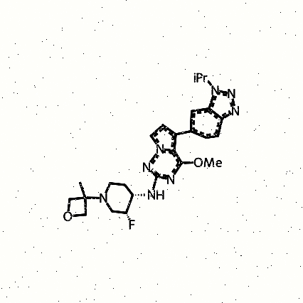 COc1nc(N[C@H]2CCN(C3(C)COC3)C[C@H]2F)nn2ccc(-c3ccc4nnn(C(C)C)c4c3)c12